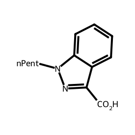 CCCCCn1nc(C(=O)O)c2ccccc21